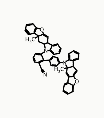 CC12CC3C(C=C1Oc1ccc#cc12)c1ccccc1N3c1cccc(C#N)c1-c1ccc(N2c3ccccc3C3C=c4oc5ccccc5c4=CC32C)cc1